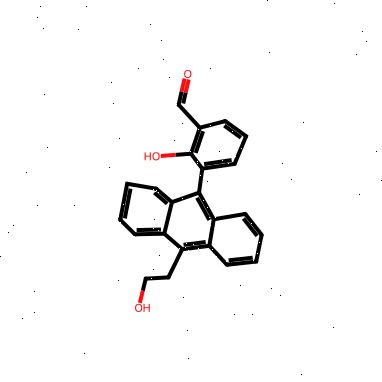 O=Cc1cccc(-c2c3ccccc3c(CCO)c3ccccc23)c1O